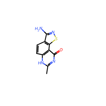 Cc1nc(=O)c2c(ccc3c(N)nsc32)[nH]1